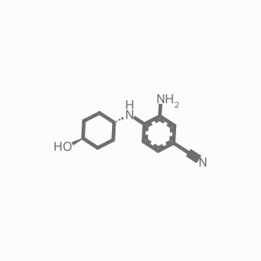 N#Cc1ccc(N[C@H]2CC[C@H](O)CC2)c(N)c1